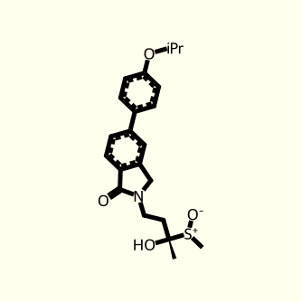 CC(C)Oc1ccc(-c2ccc3c(c2)CN(CC[C@@](C)(O)[S+](C)[O-])C3=O)cc1